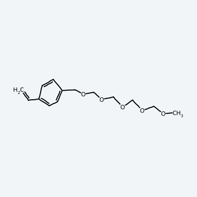 C=Cc1ccc(COCOCOCOCOC)cc1